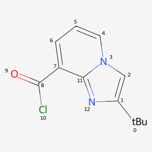 CC(C)(C)c1cn2cccc(C(=O)Cl)c2n1